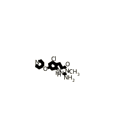 CN(C(=N)N)C(=O)c1cc2c(Cl)cc(Oc3ccncc3)cc2[nH]1